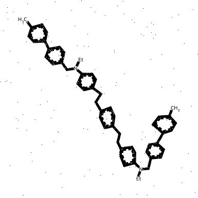 CCN(Cc1ccc(-c2ccc(C)cc2)cc1)c1ccc(CCc2ccc(CCc3ccc(N(CC)Cc4ccc(-c5ccc(C)cc5)cc4)cc3)cc2)cc1